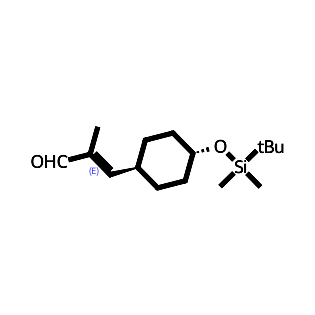 C/C(C=O)=C\[C@H]1CC[C@H](O[Si](C)(C)C(C)(C)C)CC1